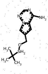 CC(C)(C)[SiH2]OCc1cc2c(N)ncnn2c1